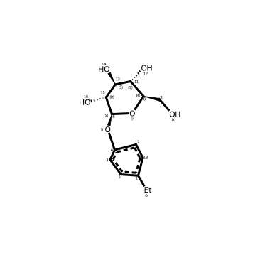 CCc1ccc(O[C@@H]2O[C@H](CO)[C@@H](O)[C@H](O)[C@H]2O)cc1